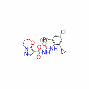 CCCc1cc(Cl)cc(C2CC2)c1NC(=O)NS(=O)(=O)c1cnn2c1OCCC2